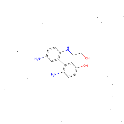 Nc1ccc(NCCO)c(-c2cc(O)ccc2N)c1